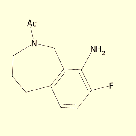 CC(=O)N1CCCc2ccc(F)c(N)c2C1